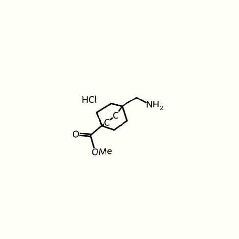 COC(=O)C12CCC(CN)(CC1)CC2.Cl